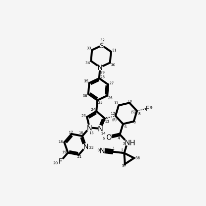 N#CC1(NC(=O)C2C[C@@H](F)CC[C@H]2c2nn(-c3ccc(F)cn3)cc2-c2ccc(N3CCSCC3)cc2)CC1